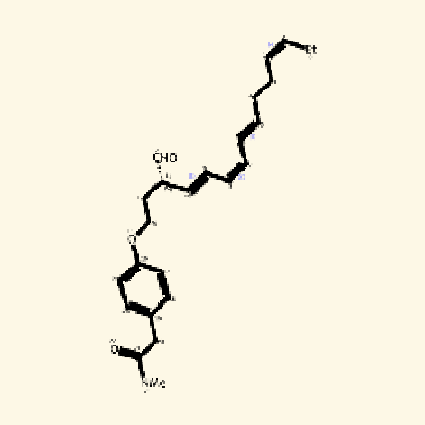 CC/C=C\CC/C=C/C=C\C=C\[C@@H](C=O)CCOc1ccc(CC(=O)NC)cc1